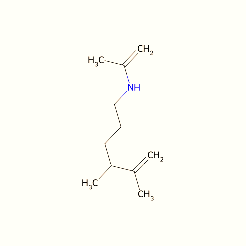 C=C(C)NCCCC(C)C(=C)C